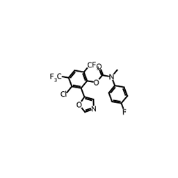 CN(C(=O)Oc1c(C(F)(F)F)cc(C(F)(F)F)c(Cl)c1-c1cnco1)c1ccc(F)cc1